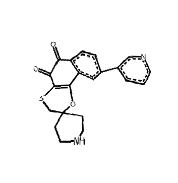 O=C1C(=O)c2ccc(-c3cccnc3)cc2C2=C1SCC1(CCNCC1)O2